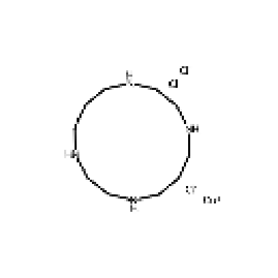 C1CNCCNCCCNCCNC1.[Cl-].[Cl-].[Cl-].[Co+3]